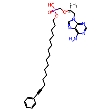 C[C@H](Cn1cnc2c(N)ncnc21)OCP(=O)(O)OCCCCCCCCCCCCCCC#Cc1ccccc1